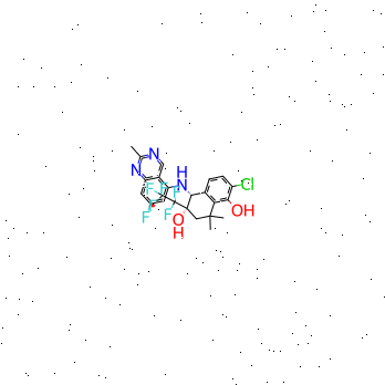 Cc1ncc2c(N[C@@H]3c4ccc(Cl)c(O)c4C(C)(C)C[C@@]3(O)C(F)(F)C(F)(F)F)cc(F)cc2n1